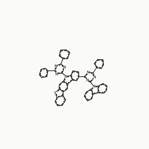 c1ccc(-c2nc(-c3ccc4c(c3)c3cc5c(cc3n4-c3nc(-c4ccccc4)nc(-c4ccccc4)n3)sc3ccccc35)nc(-n3c4ccccc4c4ccccc43)n2)cc1